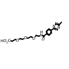 Cc1nnc(-c2ccc(C(=O)NCCOCCOCCOCCC(=O)O)cc2)nn1